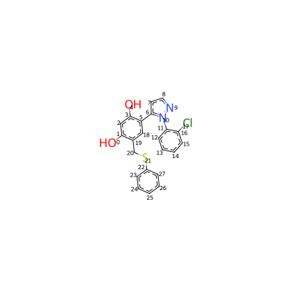 Oc1cc(O)c(-c2ccnn2-c2ccccc2Cl)cc1CSc1ccccc1